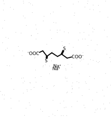 O=C([O-])CC(=S)CCC(=S)CC(=O)[O-].[Na+].[Na+]